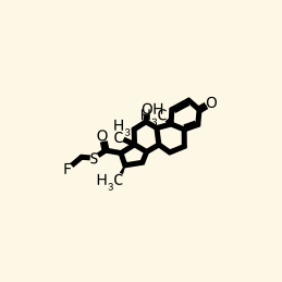 C[C@@H]1CC2C3CCC4=CC(=O)C=CC4(C)C3C(O)CC2(C)C1C(=O)SCF